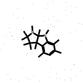 Cc1cc(C)c2c(c1C)N(C)C1(C)N(C)C(C)(C)C(C)(C)C21C